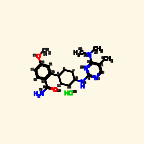 Cc1cnc(NC2CCC(c3cc(OC(F)(F)F)ccc3C(N)=O)CC2)nc1N(C)C.Cl